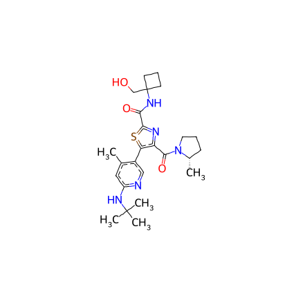 Cc1cc(NC(C)(C)C)ncc1-c1sc(C(=O)NC2(CO)CCC2)nc1C(=O)N1CCC[C@@H]1C